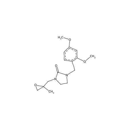 COc1ccc(CN2CCN(CC3(C)CO3)C2=O)c(OC)c1